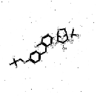 CC(F)(F)COc1ccc(Cc2cc([C@]34OC[C@](C(C)(C)O)(O3)[C@@H](O)[C@H](O)[C@H]4O)ccc2Cl)cc1